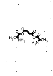 CC(N)C(=O)OC(=O)CCC(=O)OC(=O)C(C)N